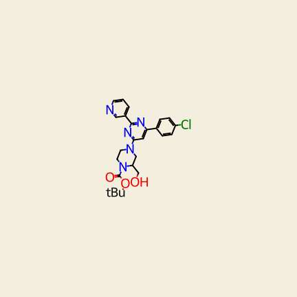 CC(C)(C)OC(=O)N1CCN(c2cc(-c3ccc(Cl)cc3)nc(-c3cccnc3)n2)CC1CO